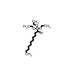 CCCCCCCCCCC(Br)[Si](OCC)(OCC)OCC